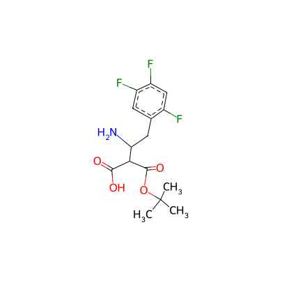 CC(C)(C)OC(=O)C(C(=O)O)C(N)Cc1cc(F)c(F)cc1F